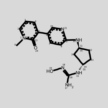 Cn1cccc(-c2ccc(N[C@H]3CC[C@H](NC(N)=NO)C3)nc2)c1=O